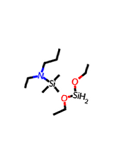 CCCN(CC)[Si](C)(C)C.CCO[SiH2]OCC